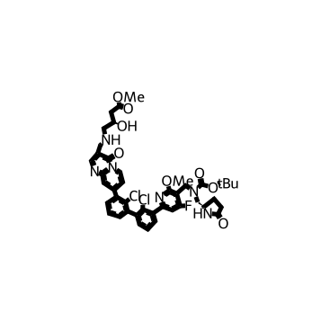 COC(=O)C[C@H](O)CNCc1cnc2cc(-c3cccc(-c4cccc(-c5cc(F)c(CN(C[C@@H]6CCC(=O)N6)C(=O)OC(C)(C)C)c(OC)n5)c4Cl)c3Cl)ccn2c1=O